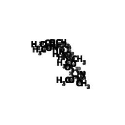 COc1cc(C(=O)OC(C)(C)c2cc3ccc([C@@H](C)NC(=O)OC(C)(C)C)nc3[nH]2)cc2ncn(C)c12